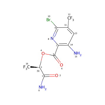 NC(=O)[C@H](OC(=O)c1nc(Br)c(C(F)(F)F)cc1N)C(F)(F)F